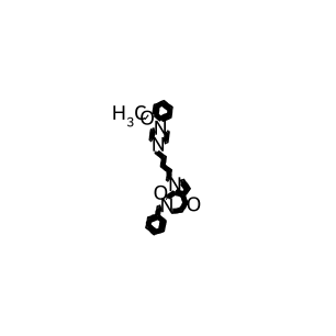 COc1ccccc1N1CCN(CCCCCn2ccc3c2C(=O)N(Cc2ccccc2)CCC3=O)CC1